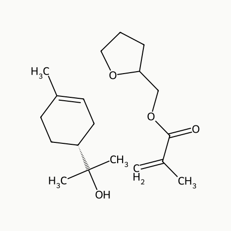 C=C(C)C(=O)OCC1CCCO1.CC1=CC[C@H](C(C)(C)O)CC1